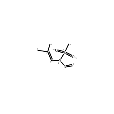 C=NN(C=C(C)C)S(C)(=O)=O